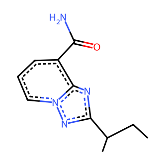 CCC(C)c1nc2c(C(N)=O)cccn2n1